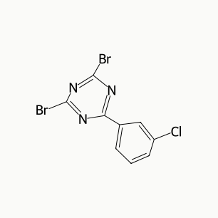 Clc1cccc(-c2nc(Br)nc(Br)n2)c1